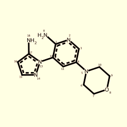 Nc1ncc(N2CCOCC2)cc1-n1nccc1N